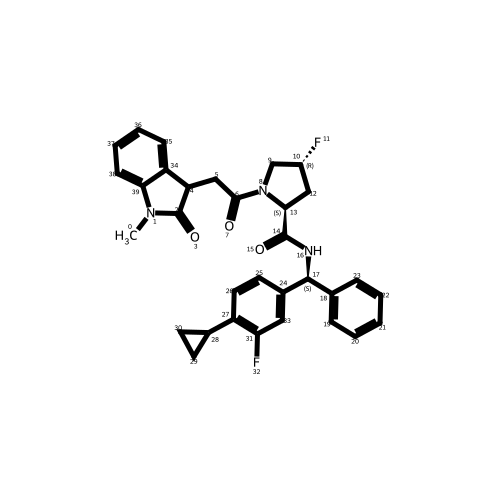 CN1C(=O)C(CC(=O)N2C[C@H](F)C[C@H]2C(=O)N[C@@H](c2ccccc2)c2ccc(C3CC3)c(F)c2)c2ccccc21